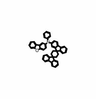 c1ccc(N(c2ccc3c(c2)C2(CCC4(CC2)c2ccccc2-c2ccccc24)c2ccccc2-3)c2ccc3oc4ccccc4c3c2)cc1